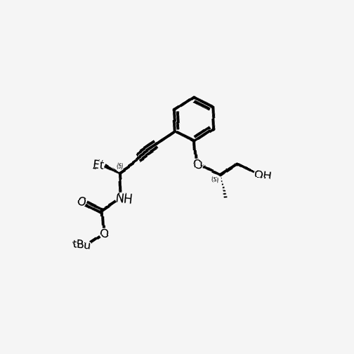 CC[C@@H](C#Cc1ccccc1O[C@@H](C)CO)NC(=O)OC(C)(C)C